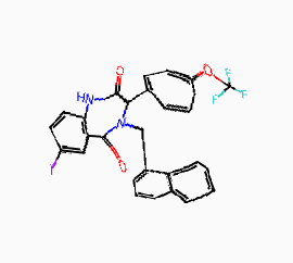 O=C1Nc2ccc(I)cc2C(=O)N(Cc2cccc3ccccc23)C1c1ccc(OC(F)(F)F)cc1